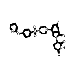 O=C1CCC(N2Cc3c(cc(F)cc3N3CCN(S(=O)(=O)c4ccc(Oc5ccccn5)cc4)CC3)C2=O)C(=O)N1